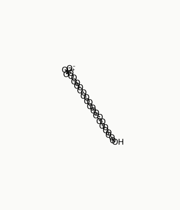 [O-][I+3]([O-])([O-])OOOOOOOOOOOOOOOOOOOOOOOOOOOOO